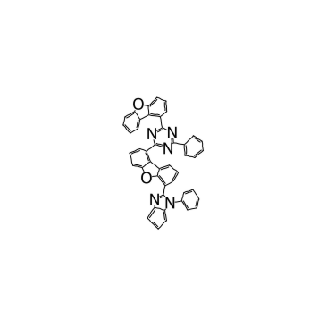 c1ccc(-c2nc(-c3cccc4oc5ccccc5c34)nc(-c3cccc4oc5c(-c6nc7ccccc7n6-c6ccccc6)cccc5c34)n2)cc1